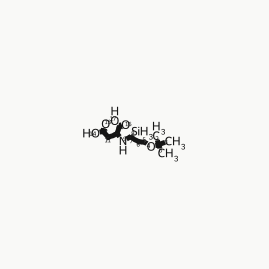 CC(C)(C)OCCC([SiH3])NC(CC(=O)O)C(=O)O